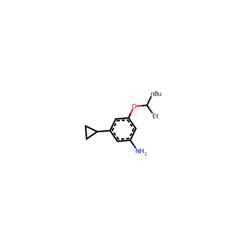 CCCCC(CC)Oc1cc(N)cc(C2CC2)c1